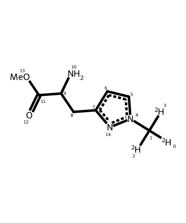 [2H]C([2H])([2H])n1ccc(CC(N)C(=O)OC)n1